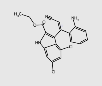 CCOC(=O)c1[nH]c2cc(Cl)cc(Cl)c2c1/C(=C\C#N)c1ccccc1N